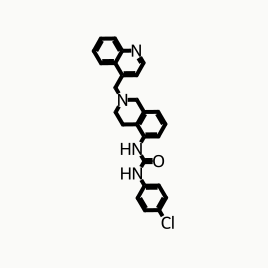 O=C(Nc1ccc(Cl)cc1)Nc1cccc2c1CCN(Cc1ccnc3ccccc13)C2